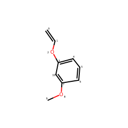 C=COc1cccc(OC)c1